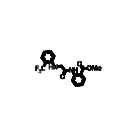 COC(=O)c1ccccc1NC(=O)CNc1ccccc1C(F)(F)F